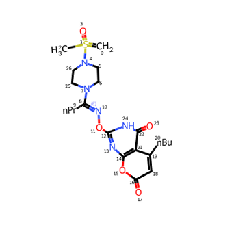 C=S(C)(=O)N1CCN(/C(CCC)=N/Oc2nc3oc(=O)cc(CCCC)c3c(=O)[nH]2)CC1